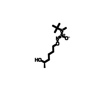 C[C@@H](O)CCCCO/N=[N+](\[O-])N(C)C(C)(C)C